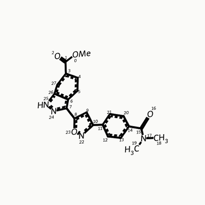 COC(=O)c1ccc2c(-c3cc(-c4ccc(C(=O)N(C)C)cc4)no3)n[nH]c2c1